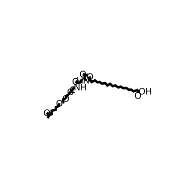 CC(=O)CCCCCOCCOCCOCCNC(=O)CC[C@H](NC(=O)CCCCCCCCCCCCCCCCCCC(=O)O)C(C)=O